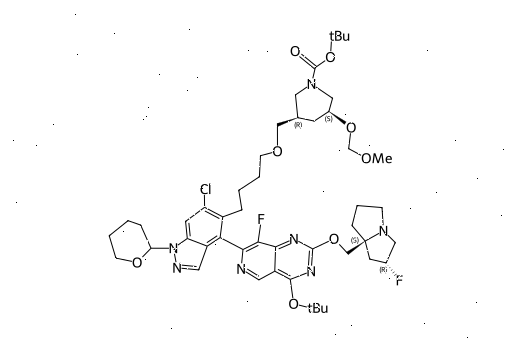 COCO[C@H]1C[C@@H](COCCCCc2c(Cl)cc3c(cnn3C3CCCCO3)c2-c2ncc3c(OC(C)(C)C)nc(OC[C@@]45CCCN4C[C@H](F)C5)nc3c2F)CN(C(=O)OC(C)(C)C)C1